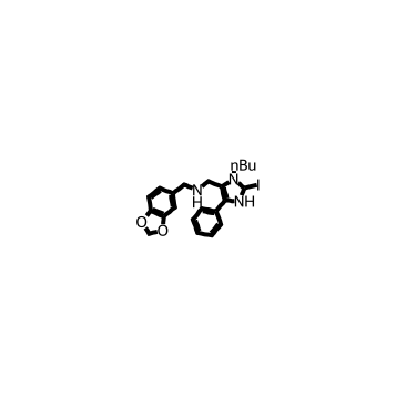 CCCCN1C(CNCc2ccc3c(c2)OCO3)=C(c2ccccc2)NC1I